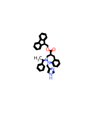 CC(c1ccccc1)N1CC(C(=O)OCC2c3ccccc3-c3ccccc32)Cc2ccccc2N1Cc1c[nH]cn1